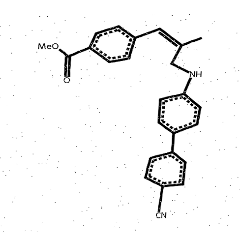 COC(=O)c1ccc(C=C(C)CNc2ccc(-c3ccc(C#N)cc3)cc2)cc1